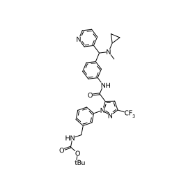 CN(C1CC1)C(c1cccnc1)c1cccc(NC(=O)c2cc(C(F)(F)F)nn2-c2cccc(CNC(=O)OC(C)(C)C)c2)c1